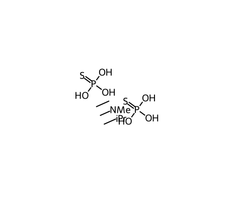 CC.CC(C)C.CNC.OP(O)(O)=S.OP(O)(O)=S